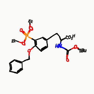 CCOP(=O)(OCC)c1cc(CC(NC(=O)OC(C)(C)C)C(=O)O)ccc1OCc1ccccc1